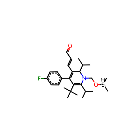 CC(C)C1=C(C(C)(C)C)C(c2ccc(F)cc2)=C(/C=C/C=O)C(C(C)C)N1CO[SiH](C)C